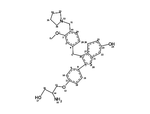 COc1cc(Cc2c(-c3ccc(OCC(N)CO)cc3)sc3cc(O)ccc23)ccc1CN1CCCC1